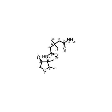 CC1OCC(=O)C1(C)NC(=O)CC(C)(C)CC(N)=O